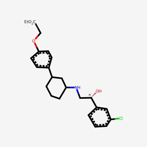 CCOC(=O)COc1ccc(C2CCCC(NC[C@H](O)c3cccc(Cl)c3)C2)cc1